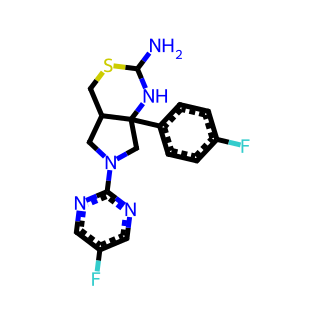 NC1NC2(c3ccc(F)cc3)CN(c3ncc(F)cn3)CC2CS1